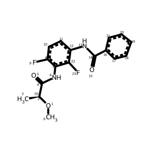 CO[C@@H](C)C(=O)Nc1c(F)ccc(NC(=O)c2ccccc2)c1F